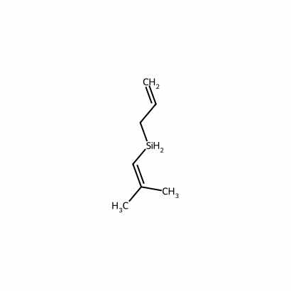 C=CC[SiH2]C=C(C)C